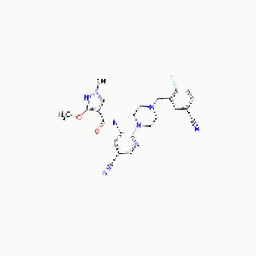 COc1nn(C)cc1C(=O)Nc1cc(C#N)cnc1N1CCN(Cc2cc(C#N)ccc2F)CC1